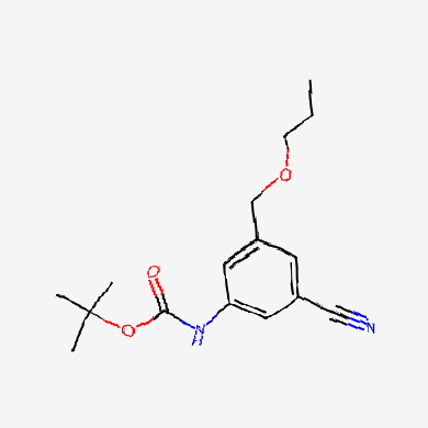 CCCOCc1cc(C#N)cc(NC(=O)OC(C)(C)C)c1